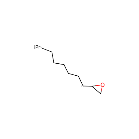 CC(C)CCCCC[CH]C1CO1